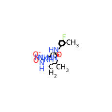 [CH2]CC(C)CNC(=O)[C@H](CCCNC(=N)N[N+](=O)[O-])NCc1ccc(F)c(C)c1